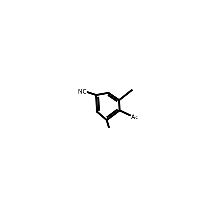 CC(=O)c1c(C)cc(C#N)cc1C